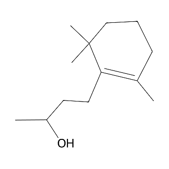 CC1=C(CCC(C)O)C(C)(C)CCC1